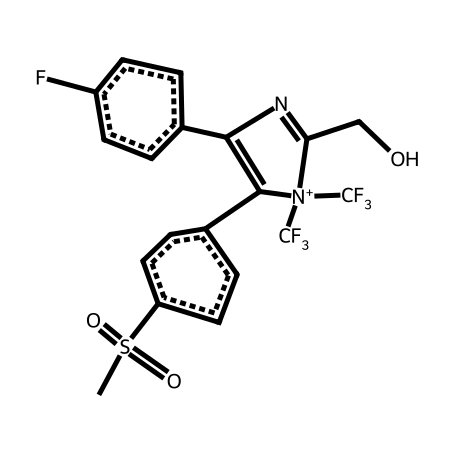 CS(=O)(=O)c1ccc(C2=C(c3ccc(F)cc3)N=C(CO)[N+]2(C(F)(F)F)C(F)(F)F)cc1